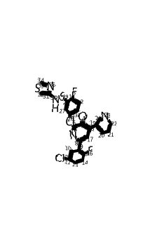 Fc1cc(Oc2cnc(-c3cc(Cl)ccc3F)cc2-c2cccnc2)c(Cl)cc1SNc1cscn1